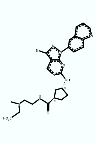 CN(CCNC(=O)[C@@H]1CC[C@@H](Nc2ncc3c(Br)nn(-c4ccc5ncccc5c4)c3n2)C1)CC(=O)O